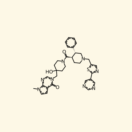 Cn1ccc2c(=O)n(CC3(O)CCN(C(=O)[C@@H]4CCN(Cc5cnc(-c6cncnc6)s5)C[C@H]4c4ccccc4)CC3)cnc21